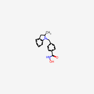 CC1Cc2ccccc2N1Cc1ccc(C(=O)NO)cc1